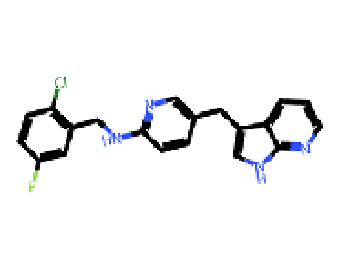 Fc1ccc(Cl)c(CNc2ccc(Cc3c[nH]c4ncccc34)cn2)c1